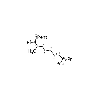 CCCCCC(CC)C(C)CCCNCC(C(C)C)C(C)C